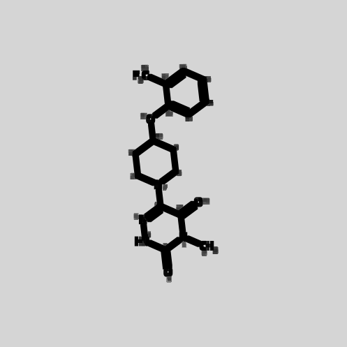 Cn1c(=O)[nH]nc(N2CCC(Oc3ccccc3C(F)(F)F)CC2)c1=O